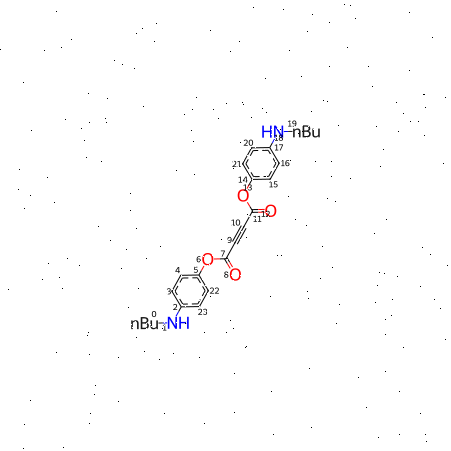 CCCCNc1ccc(OC(=O)C#CC(=O)Oc2ccc(NCCCC)cc2)cc1